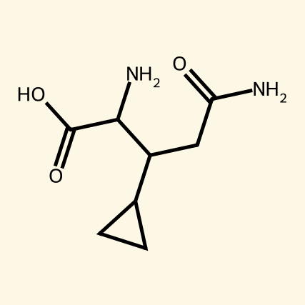 NC(=O)CC(C1CC1)C(N)C(=O)O